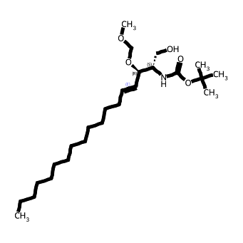 CCCCCCCCCCCCC/C=C/[C@@H](OCOC)[C@H](CO)NC(=O)OC(C)(C)C